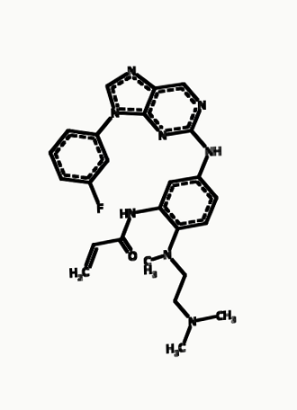 C=CC(=O)Nc1cc(Nc2ncc3ncn(-c4cccc(F)c4)c3n2)ccc1N(C)CCN(C)C